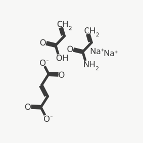 C=CC(=O)O.C=CC(N)=O.O=C([O-])C=CC(=O)[O-].[Na+].[Na+]